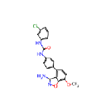 Nc1noc2c(OC(F)(F)F)ccc(-c3ccc(NC(=O)Nc4cccc(Cl)c4)cc3)c12